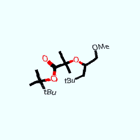 COCC(CC(C)(C)C)OC(C)(C)C(=O)OC(C)(C)C(C)(C)C